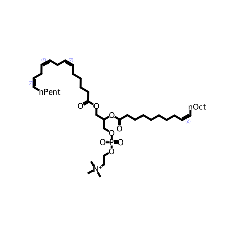 CCCCC/C=C\C/C=C\C/C=C\CCCCC(=O)OCC(COP(=O)([O-])OCC[N+](C)(C)C)OC(=O)CCCCCCC/C=C\CCCCCCCC